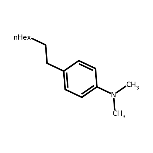 CCCCCCCCc1ccc(N(C)C)cc1